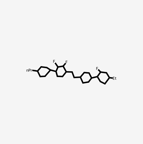 CCCC1CCC(C2CCC(CCC3CCC(C4CCC(CC)CC4F)CC3)C(F)C2F)CC1